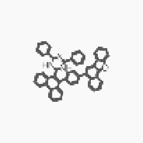 c1ccc(C2=NC(c3ccccc3)NC(c3c(-c4ccc(-c5cc6c7ccccc7oc6c6ccccc56)cc4)c4ccccc4c4ccccc34)N2)cc1